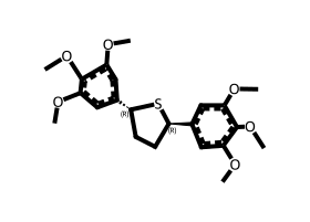 COc1cc([C@H]2CC[C@H](c3cc(OC)c(OC)c(OC)c3)S2)cc(OC)c1OC